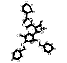 Cc1[nH]nc(-c2cc(Cl)c(OCc3ccccc3)cc2OCc2ccccc2)c1C1=COC=C(C2=CC=CCC2)O1